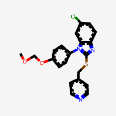 COCOc1ccc(-n2c(SCc3ccncc3)nc3ccc(Cl)cc32)cc1